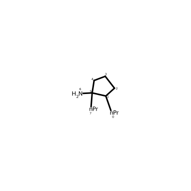 CCCC1CCCC1(N)CCC